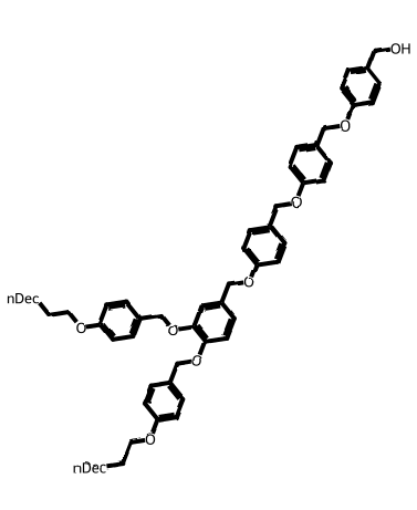 CCCCCCCCCCCCOc1ccc(COc2ccc(COc3ccc(COc4ccc(COc5ccc(CO)cc5)cc4)cc3)cc2OCc2ccc(OCCCCCCCCCCCC)cc2)cc1